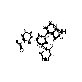 CC(=O)N1CCC[C@H](c2cc(N3CCOC[C@H]3C)nc(-c3ccnc4[nH]ccc34)n2)C1